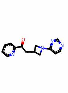 O=C(CC1CN(c2ccncn2)C1)c1ccccn1